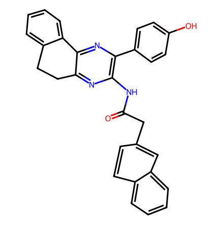 O=C(Cc1ccc2ccccc2c1)Nc1nc2c(nc1-c1ccc(O)cc1)-c1ccccc1CC2